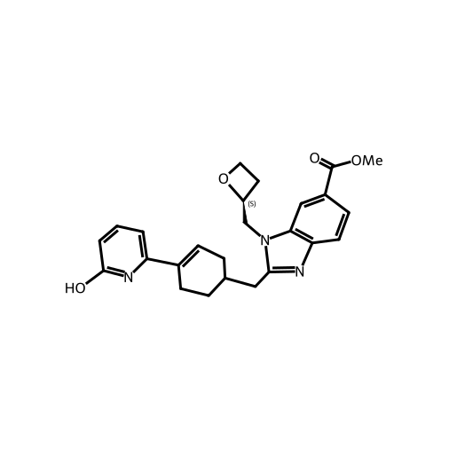 COC(=O)c1ccc2nc(CC3CC=C(c4cccc(O)n4)CC3)n(C[C@@H]3CCO3)c2c1